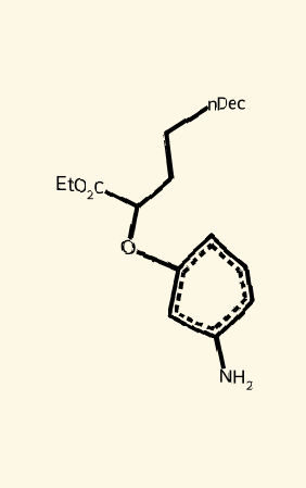 CCCCCCCCCCCCC(Oc1cccc(N)c1)C(=O)OCC